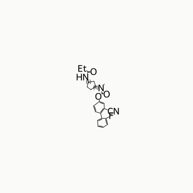 CCC(=O)N[C@H]1CC[C@@H](N(C)C(=O)Oc2ccc(-c3ccccc3F)c(C#N)c2)C1